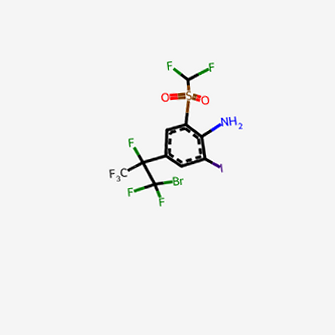 Nc1c(I)cc(C(F)(C(F)(F)F)C(F)(F)Br)cc1S(=O)(=O)C(F)F